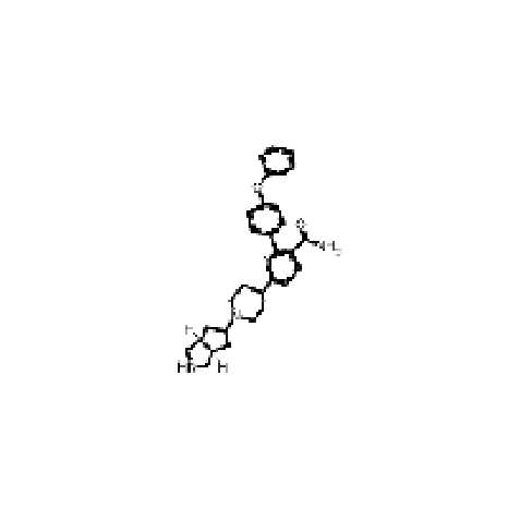 NC(=O)c1ccc(C2CCN(C3C[C@H]4CNC[C@H]4C3)CC2)nc1-c1ccc(Oc2ccccc2)cc1